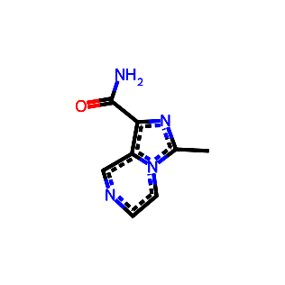 Cc1nc(C(N)=O)c2cnccn12